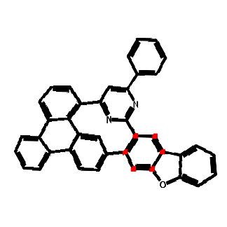 c1ccc(-c2cc(-c3cccc4c5ccccc5c5ccc(-c6ccc7c(c6)oc6ccccc67)cc5c34)nc(-c3ccccc3)n2)cc1